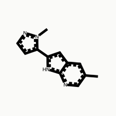 Cc1cnc2[nH]c(-c3ccnn3C)cc2c1